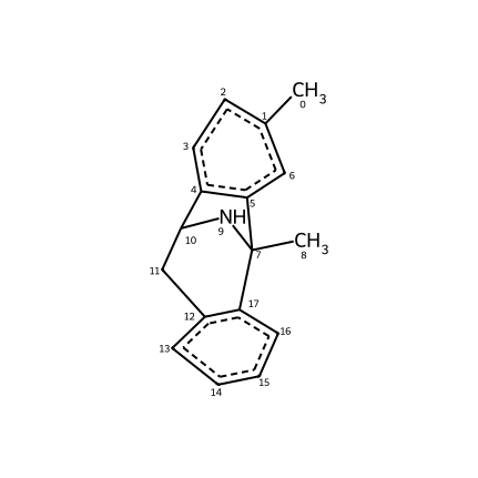 Cc1ccc2c(c1)C1(C)NC2Cc2ccccc21